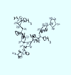 CC(c1nc([C@H]2CN(C(=O)c3cncs3)CC23CN(C(=O)C[C@H]2CC2(C)C)C3)no1)n1ccc(C2CCCC2)n1